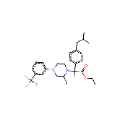 CCOC(=O)C(C)(c1ccc(CC(C)C)cc1)N1CCN(c2cccc(C(F)(F)F)c2)CC1I